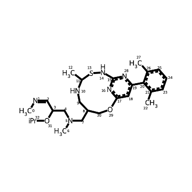 C/N=C\C(CN(C)CC1CNC(C)SNc2nc(cc(-c3c(C)cccc3C)n2)OC1)OC(C)C